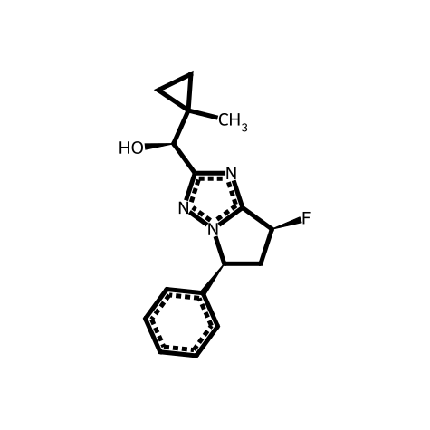 CC1([C@H](O)c2nc3n(n2)[C@H](c2ccccc2)C[C@@H]3F)CC1